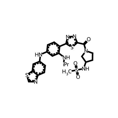 CC(C)Nc1cc(Nc2ccc3ncsc3c2)ccc1-c1nnc(C(=O)N2CCC(NS(C)(=O)=O)C2)s1